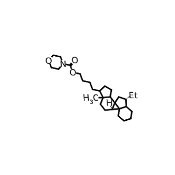 CC[C@H]1CC23C4CCC(CCCCOC(=O)N5CCOCC5)C4(C)CC[C@@H]2C32CCCCC12